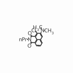 CCCN1C(=O)c2cccc3cc(N(C)C)c(Cl)c(c23)C1=O